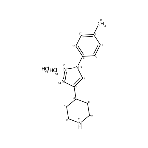 Cc1ccc(-n2cc(C3CCNCC3)nn2)cc1.Cl.Cl